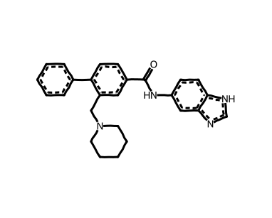 O=C(Nc1ccc2[nH]cnc2c1)c1ccc(-c2ccccc2)c(CN2CCCCC2)c1